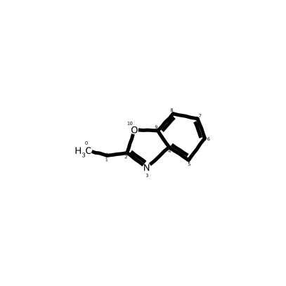 C[CH]c1nc2ccccc2o1